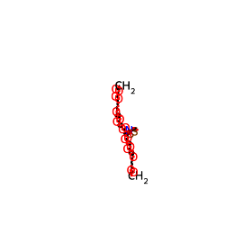 C=CC(=O)OCCCCCCOc1ccc(C(=O)O[C@H]2CC[C@H](C(=O)Oc3ccc(C(=O)O[C@H]4CC[C@H](C(=O)Oc5ccc(OCCCCCCOC(=O)CCOC(=O)C=C)cc5)CC4)c4nc(-c5cccs5)sc34)CC2)cc1